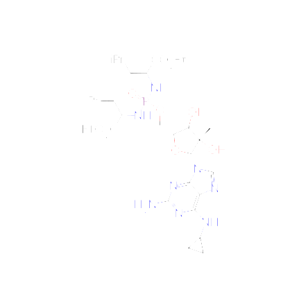 CCOC(=O)C(CC(C)C)NP(=O)(NC(CC(C)C)C(=O)OCC)OC[C@H]1O[C@@H](n2cnc3c(NC4CC4)nc(N)nc32)[C@@](C)(O)C1O